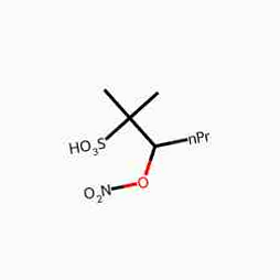 CCCC(O[N+](=O)[O-])C(C)(C)S(=O)(=O)O